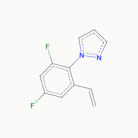 C=Cc1cc(F)cc(F)c1-n1cccn1